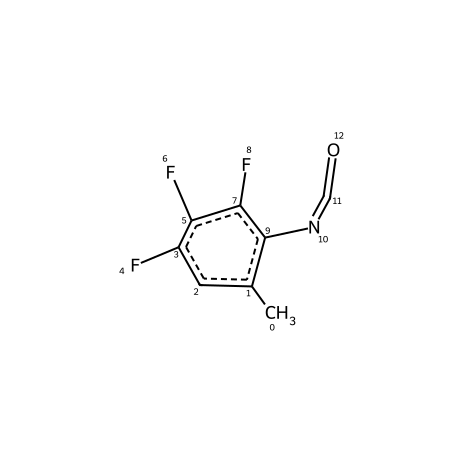 Cc1cc(F)c(F)c(F)c1N=C=O